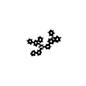 c1ccc(-c2cccc(-c3nc(-c4cccc(-c5ccc6c(c5)c5ccccc5n6-c5ccccc5)c4)nc(-n4c5ccccc5c5cc(-c6ccccc6)ccc54)n3)c2)cc1